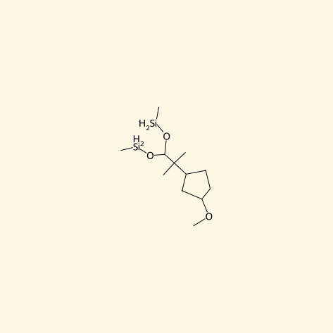 COC1CCC(C(C)(C)C(O[SiH2]C)O[SiH2]C)C1